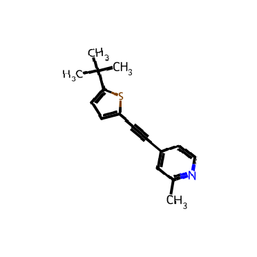 Cc1cc(C#Cc2ccc(C(C)(C)C)s2)ccn1